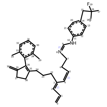 C=C/C=C(\C=C/CC/N=C\Nc1ccc(CC(C)(F)F)cc1)CCCC1=C(c2c(C)cccc2C)C(=C)CC1